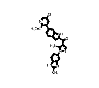 COc1ncc(Cl)cc1-c1ccc2cc(C(=O)c3cnn(-c4ccc5[nH]c(C)nc5c4)c3N)[nH]c2c1